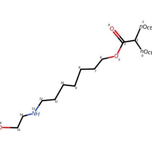 CCCCCCCCC(CCCCCCCC)C(=O)OCCCCCCCNCCO